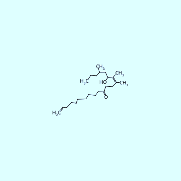 C=CCCCCCCCCC(=O)CCC(C)=C(C)C(O)CC(C)CCC